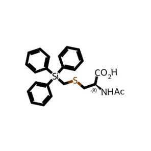 CC(=O)N[C@@H](CSC[Si](c1ccccc1)(c1ccccc1)c1ccccc1)C(=O)O